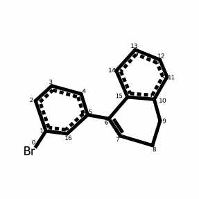 Brc1cccc(C2=CCCc3ccccc32)c1